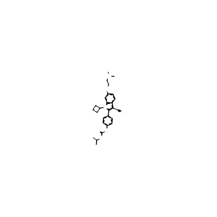 CC(C)OC(=O)Nc1ccc(-c2c(C#N)c3ccc(OCCN(C)C)cc3n2C2CCC2)cc1